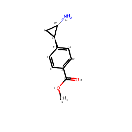 COC(=O)c1ccc([C@H]2C[C@@H]2N)cc1